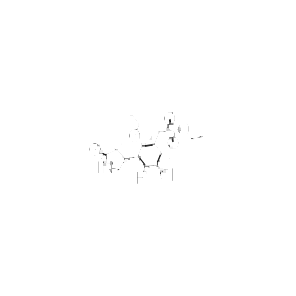 CCOc1c(CS(=O)(=O)OCC)cc(Cl)c(F)c1C1CNC(=O)C1